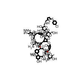 CN[C@H](CC(C)C)C(=O)NC1C(=O)N[C@@H](CC(N)=O)C(=O)N[C@H]2C(=O)N[C@H]3C(=O)N[C@H](C(=O)N[C@@H](C(=O)O)c4cc(O)cc(O)c4-c4cc3ccc4O)[C@H](O[C@H]3C[C@](C)(N)[C@@H](O)[C@H](C)O3)c3ccc(c(Cl)c3)Oc3cc2cc(c3O[C@@H]2O[C@H](CO)[C@@H](O[C@@H]3O[C@H](CNCc4ccc(Sc5ccc(Cl)cc5)s4)[C@H](O)[C@H](O)[C@H]3O)[C@H](O)[C@H]2O)Oc2ccc(cc2Cl)[C@H]1O